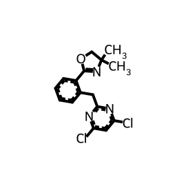 CC1(C)COC(c2ccccc2Cc2nc(Cl)cc(Cl)n2)=N1